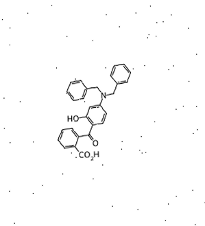 O=C(O)c1ccccc1C(=O)c1ccc(N(Cc2ccccc2)Cc2ccccc2)cc1O